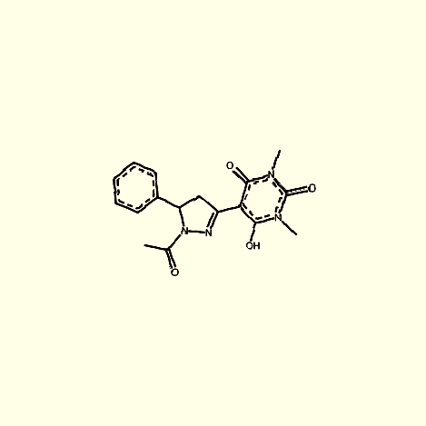 CC(=O)N1N=C(c2c(O)n(C)c(=O)n(C)c2=O)CC1c1ccccc1